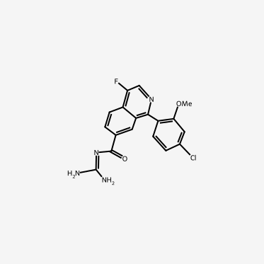 COc1cc(Cl)ccc1-c1ncc(F)c2ccc(C(=O)N=C(N)N)cc12